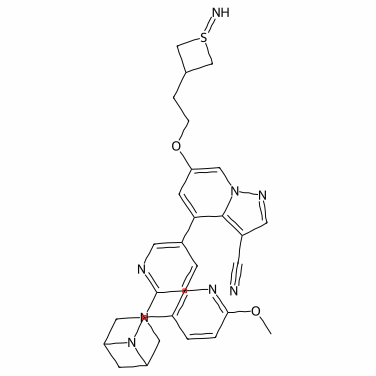 COc1ccc(CN2C3CC2CN(c2ccc(-c4cc(OCCC5CS(=N)C5)cn5ncc(C#N)c45)cn2)C3)cn1